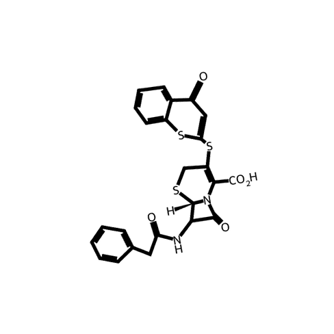 O=C(Cc1ccccc1)NC1C(=O)N2C(C(=O)O)=C(Sc3cc(=O)c4ccccc4s3)CS[C@@H]12